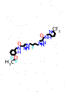 CC(F)(F)Oc1cccc(CNC(=O)c2cn(CC(F)CCn3cc(C(=O)NCc4cccc(C(F)(F)F)n4)nn3)nn2)c1